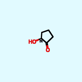 O=C1CCC[C@@H]1O